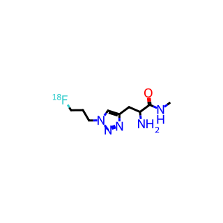 CNC(=O)C(N)Cc1cn(CCC[18F])nn1